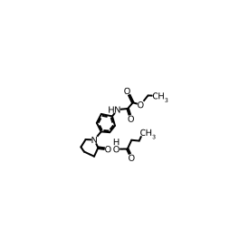 CCCC(=O)O.CCOC(=O)C(=O)Nc1ccc(N2CCCCC2=O)cc1